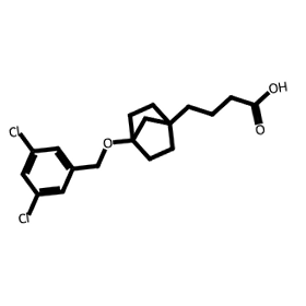 O=C(O)CCCC12CCC(OCc3cc(Cl)cc(Cl)c3)(CC1)C2